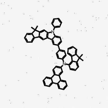 CC1(C)c2ccccc2-c2cc3c4cc(-c5ccc(N(c6ccc7c8ccccc8c8ccccc8c7c6)c6cccc7c6-c6ccccc6C7(C)C)cc5)ccc4n(-c4ccccc4)c3cc21